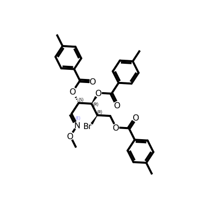 CO/N=C/[C@H](OC(=O)c1ccc(C)cc1)[C@@H](OC(=O)c1ccc(C)cc1)[C@H](Br)COC(=O)c1ccc(C)cc1